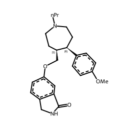 CCCN1CC[C@H](COc2ccc3c(c2)C(=O)NC3)[C@H](c2ccc(OC)cc2)CC1